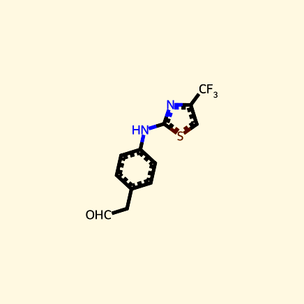 O=CCc1ccc(Nc2nc(C(F)(F)F)cs2)cc1